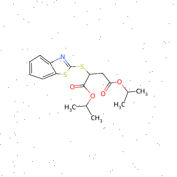 CC(C)OC(=O)CC(Sc1nc2ccccc2s1)C(=O)OC(C)C